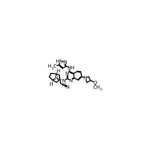 COC1CN(c2ccc3c(Nc4cc(C)[nH]n4)nc(N[C@@H]4C[C@H]5CC[C@@H](C4)N5CCC#N)nc3c2)C1